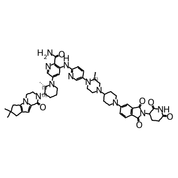 C[C@H]1CN(C2CCN(c3ccc4c(c3)C(=O)N(C3CCC(=O)NC3=O)C4=O)CC2)CCN1c1ccc(Nc2cc(N3CCC[C@H](N4CCn5c(cc6c5CC(C)(C)C6)C4=O)[C@@H]3C)cnc2C(N)=O)nc1